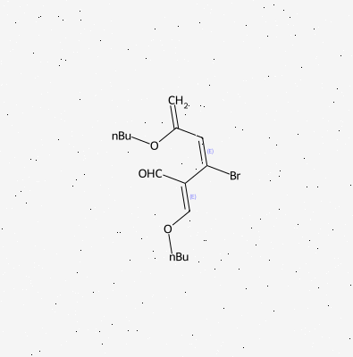 C=C(/C=C(Br)\C(C=O)=C\OCCCC)OCCCC